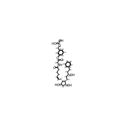 O=C(CCC/C=C\C[C@@H]1[C@@H](CC[C@@H](O)CCc2ccccc2)[C@H](O)C[C@@H]1O)NCC(=O)Oc1cccc(CON(O)O)c1